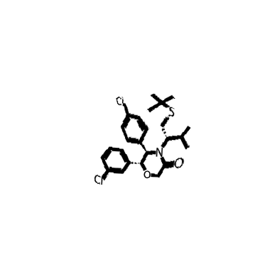 CC(C)[C@@H](CSC(C)(C)C)N1C(=O)CO[C@H](c2cccc(Cl)c2)[C@H]1c1ccc(Cl)cc1